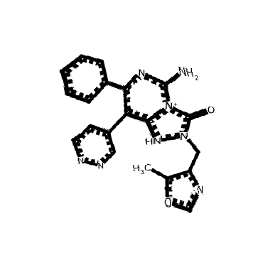 Cc1ocnc1Cn1[nH]c2c(-c3ccnnc3)c(-c3ccccc3)nc(N)[n+]2c1=O